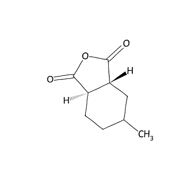 CC1CC[C@H]2C(=O)OC(=O)[C@@H]2C1